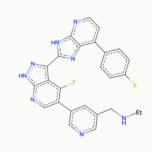 CCNCc1cncc(-c2cnc3[nH]nc(-c4nc5c(-c6ccc(F)cc6)ccnc5[nH]4)c3c2F)c1